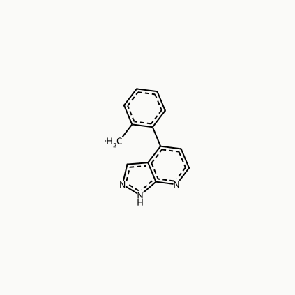 [CH2]c1ccccc1-c1ccnc2[nH]ncc12